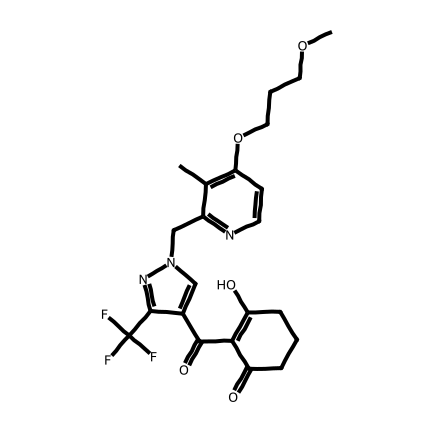 COCCCOc1ccnc(Cn2cc(C(=O)C3=C(O)CCCC3=O)c(C(F)(F)F)n2)c1C